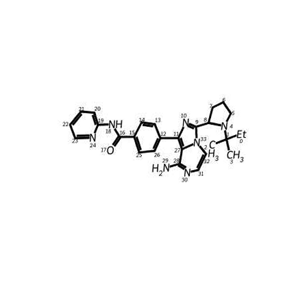 CCC(C)(C)N1CCCC1c1nc(-c2ccc(C(=O)Nc3ccccn3)cc2)c2c(N)nccn12